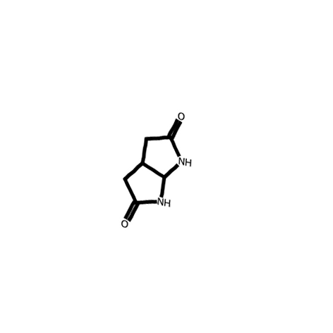 O=C1CC2CC(=O)NC2N1